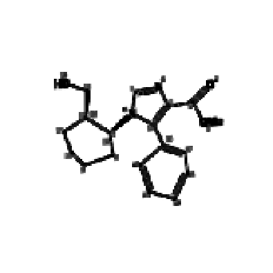 COC(=O)c1ncn([C@H]2CCCC[C@H]2CO)c1-c1ccccc1